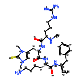 CC(C)NC(CCCNC(=N)N)C(=O)N[C@@H](Cc1cn(C)c(=S)n1C)C(=O)N[C@@H](CCCCN)C(=O)N[C@@H](Cc1ccccc1)C(=O)O